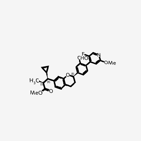 COC(=O)[C@@H](C)[C@H](c1ccc2c(c1)O[C@@H](c1ccc(-c3cc(OC)ncc3F)c(C=O)c1)CC2)C1CC1